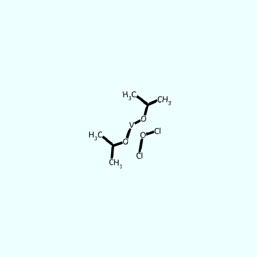 CC(C)[O][V][O]C(C)C.ClOCl